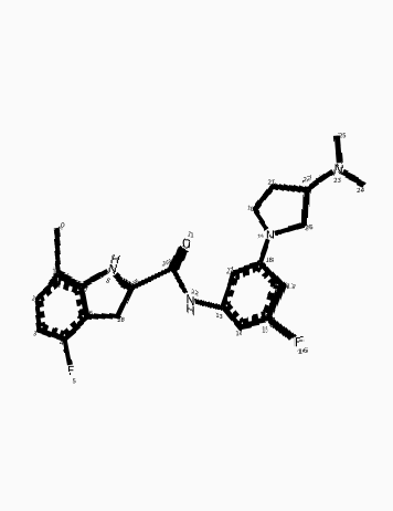 Cc1ccc(F)c2c1NC(C(=O)Nc1cc(F)cc(N3CCC(N(C)C)C3)c1)C2